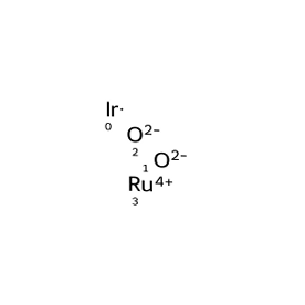 [Ir].[O-2].[O-2].[Ru+4]